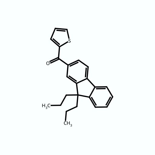 CCCC1(CCC)c2ccccc2-c2ccc(C(=O)c3cccs3)cc21